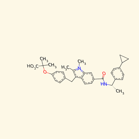 Cc1c(Cc2ccc(OC(C)(C)C(=O)O)cc2)c2ccc(C(=O)N[C@@H](C)c3ccc(C4CC4)cc3)cc2n1C